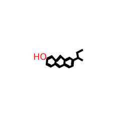 CCC(C)c1ccc2cc3ccc(O)cc3cc2c1